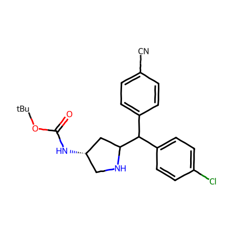 CC(C)(C)OC(=O)N[C@H]1CNC(C(c2ccc(Cl)cc2)c2ccc(C#N)cc2)C1